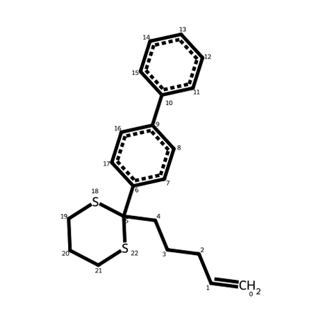 C=CCCCC1(c2ccc(-c3ccccc3)cc2)SCCCS1